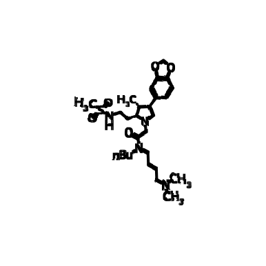 CCCCN(CCCCN(C)C)C(=O)CN1C[C@H](c2ccc3c(c2)OCO3)[C@@H](C)[C@@H]1CCNS(C)(=O)=O